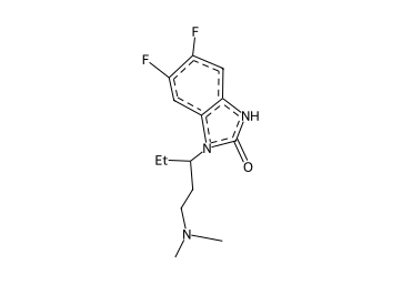 CCC(CCN(C)C)n1c(=O)[nH]c2cc(F)c(F)cc21